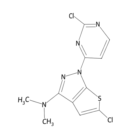 CN(C)c1nn(-c2ccnc(Cl)n2)c2sc(Cl)cc12